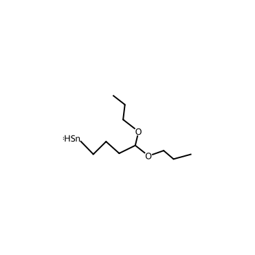 CCCOC(CC[CH2][SnH])OCCC